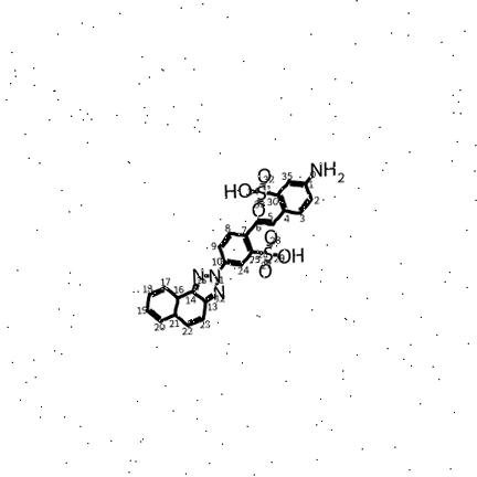 Nc1ccc(/C=C/c2ccc(-n3nc4c(n3)C3C=CC=CC3C=C4)cc2S(=O)(=O)O)c(S(=O)(=O)O)c1